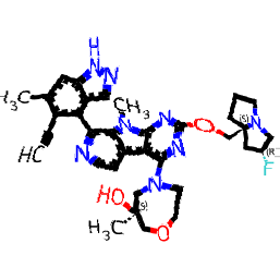 C#Cc1c(C)cc2[nH]ncc2c1-c1nccc2c3c(N4CCOC[C@@](C)(O)C4)nc(OC[C@@]45CCCN4C[C@H](F)C5)nc3n(C)c12